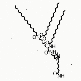 CCCCCCCCCCCCCCCC(=O)N[C@@H](CSC[C@H](COC(=O)CCCCCCCCCCCCCCC)OC(=O)CCCCCCCCCCCCCCC)C(=O)NCc1cn(CCCCCC(=O)NC)nn1